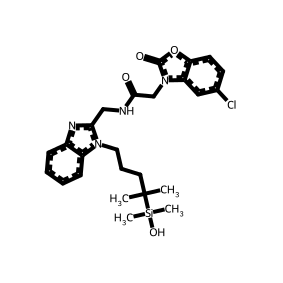 CC(C)(CCCn1c(CNC(=O)Cn2c(=O)oc3ccc(Cl)cc32)nc2ccccc21)[Si](C)(C)O